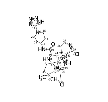 CC1(C)CCC2(CC1)N[C@@H](C(=O)NC1CCN(c3nnn[nH]3)CC1)[C@H](c1ccnc(Cl)c1F)[C@]21C(=O)Nc2cc(Cl)ccc21